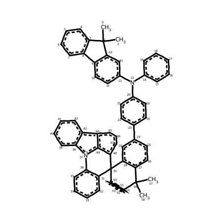 CC1(C)c2ccccc2-c2ccc(N(c3ccccc3)c3ccc(-c4ccc5c(c4)C4(c6ccccc6-n6c7ccccc7c7cccc4c76)c4ccccc4C5(C)C)cc3)cc21